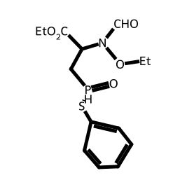 CCOC(=O)C(C[PH](=O)Sc1ccccc1)N(C=O)OCC